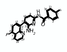 Cc1ccc(C(=O)Nc2ccc(-c3ccc(F)c4cccnc34)c(N)n2)cc1